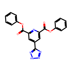 O=C(Oc1ccccc1)c1cc(-c2nn[nH]n2)cc(C(=O)Oc2ccccc2)n1